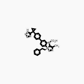 CC1=C(NC(=O)O)[N@@+](CCc2ccccc2)(c2ccc(-c3ccc(C4(c5nnn[nH]5)CC4)cc3)cc2)N=N1